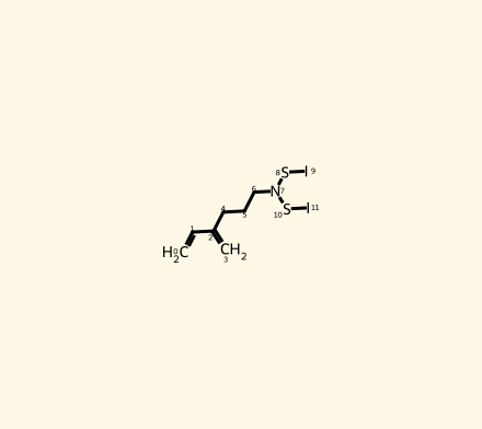 C=CC(=C)CCCN(SI)SI